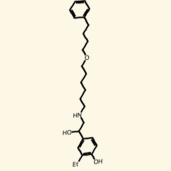 CCc1cc(C(O)CNCCCCCCOCCCCc2ccccc2)ccc1O